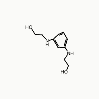 OCCNc1cccc(NCCO)c1